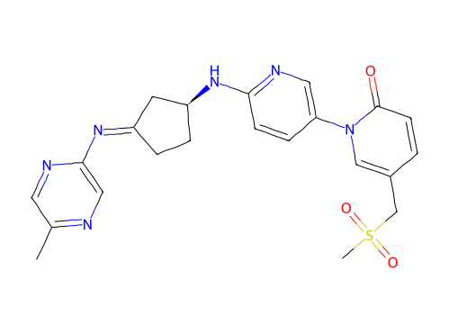 Cc1cnc(/N=C2\CC[C@H](Nc3ccc(-n4cc(CS(C)(=O)=O)ccc4=O)cn3)C2)cn1